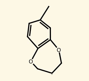 Cc1ccc2c(c1)OC[CH]CO2